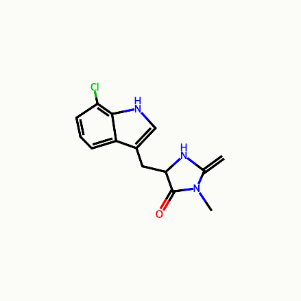 C=C1NC(Cc2c[nH]c3c(Cl)cccc23)C(=O)N1C